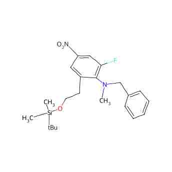 CN(Cc1ccccc1)c1c(F)cc([N+](=O)[O-])cc1CCO[Si](C)(C)C(C)(C)C